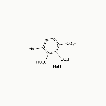 CC(C)(C)c1ccc(C(=O)O)c(C(=O)O)c1C(=O)O.[NaH]